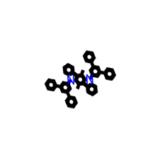 Cc1c2c3ccccc3n(-c3cc(-c4ccccc4)cc(-c4ccccc4)c3)c2c(C)c2c3ccccc3n(-c3cc(-c4ccccc4)cc(-c4ccccc4)c3)c12